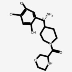 N[C@@H](c1cc(Cl)c(Cl)cc1O)C1CCN(C(=O)C2COCCN2)CC1